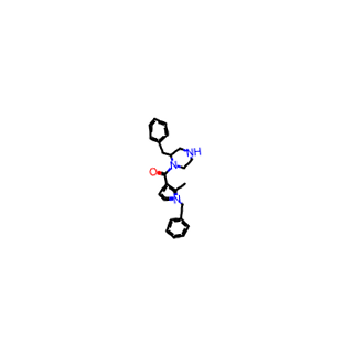 Cc1c(C(=O)N2CCNCC2Cc2ccccc2)ccn1Cc1ccccc1